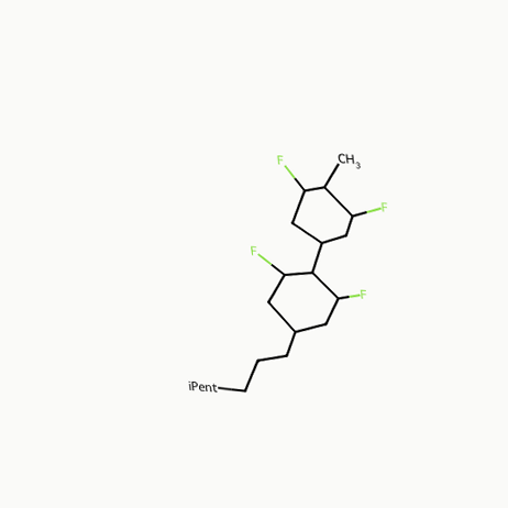 CCCC(C)CCCC1CC(F)C(C2CC(F)C(C)C(F)C2)C(F)C1